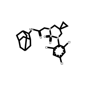 O=C(CN1CC2(CC2)CN(c2c(Cl)cc(Cl)cc2Cl)S1(=O)=O)NC1C2CC3CC(C2)CC1C3